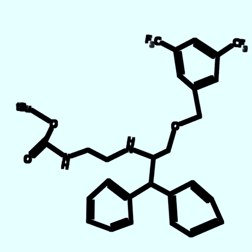 CC(C)(C)OC(=O)NCCNC(COCc1cc(C(F)(F)F)cc(C(F)(F)F)c1)C(c1ccccc1)c1ccccc1